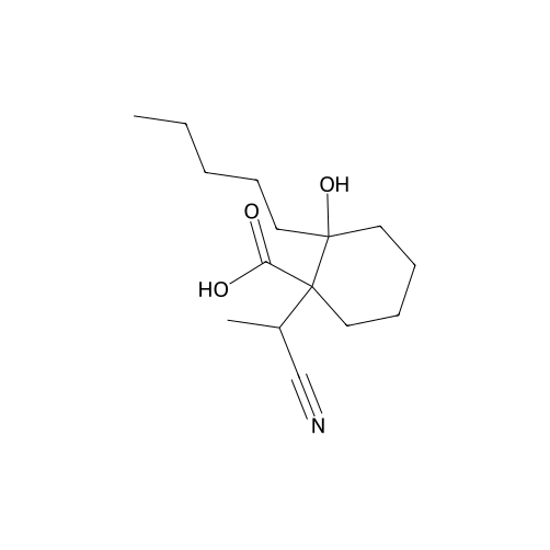 CCCCCC1(O)CCCCC1(C(=O)O)C(C)C#N